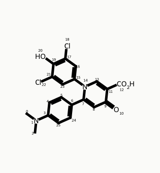 CN(C)c1ccc(-c2cc(=O)c(C(=O)O)cn2-c2cc(Cl)c(O)c(Cl)c2)cc1